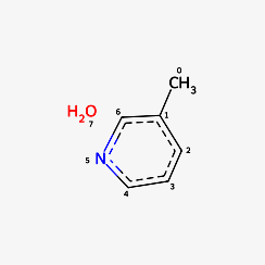 Cc1cccnc1.O